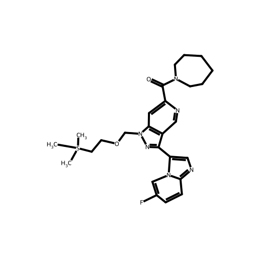 CS(C)(C)CCOCn1nc(-c2cnc3ccc(F)cn23)c2cnc(C(=O)N3CCCCCC3)cc21